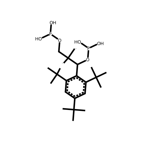 [CH2]C([CH2])(COP(O)O)C(OP(O)O)c1c(C(C)(C)C)cc(C(C)(C)C)cc1C(C)(C)C